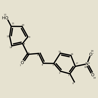 Cc1cc(/C=C/C(=O)c2ccc(O)cc2)ccc1[N+](=O)[O-]